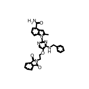 Cc1cc2c(C(N)=O)cccc2n1-c1ncc(OCCN2C(=O)c3ccccc3C2=O)c(NCc2ccccc2)n1